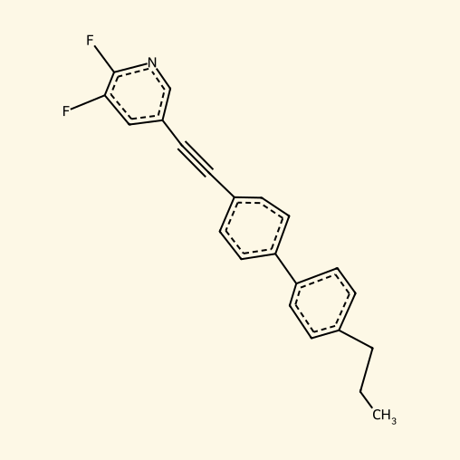 CCCc1ccc(-c2ccc(C#Cc3cnc(F)c(F)c3)cc2)cc1